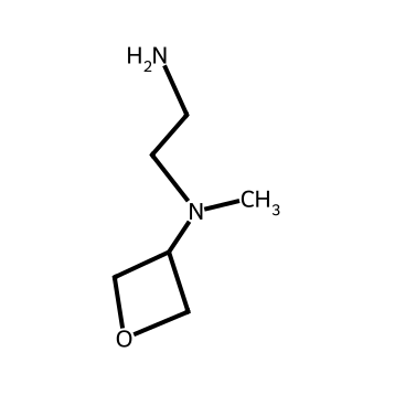 CN(CCN)C1COC1